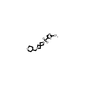 O=S(=O)(c1cnc(C(F)(F)F)s1)N1CC2(CN(CC3CCOCC3)C2)C1